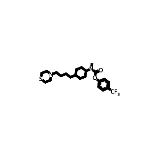 CN(C(=O)Oc1ccc(C(F)(F)F)cc1)C1CCC(CCCCN2CCSCC2)CC1